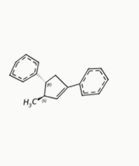 C[C@@H]1C=C(c2ccccc2)C[C@H]1c1ccccc1